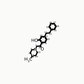 CN1CCN(CC(=O)c2ccc(CCc3ccccc3)cc2O)CC1